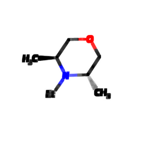 CCN1[C@@H](C)COC[C@@H]1C